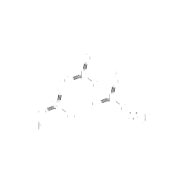 O=P(=O)[O-].O=P(=O)[O-].O=P(=O)[O-].[K+].[Mg+2]